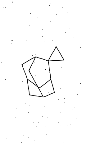 C1C2CC3CC1CC(C2)C31CC1